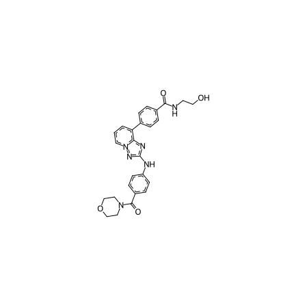 O=C(NCCO)c1ccc(-c2cccn3nc(Nc4ccc(C(=O)N5CCOCC5)cc4)nc23)cc1